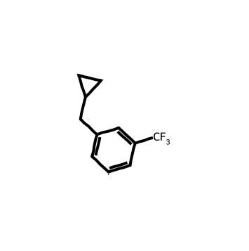 FC(F)(F)c1c[c]cc(CC2CC2)c1